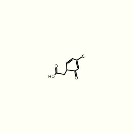 O=C(O)CC1C=CC(Cl)=CC1=O